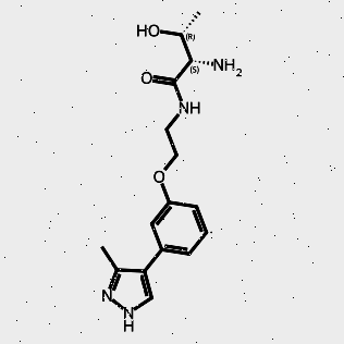 Cc1n[nH]cc1-c1c[c]cc(OCCNC(=O)[C@@H](N)[C@@H](C)O)c1